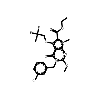 CCOC(=O)c1c(OCC(F)(F)F)c2c(=O)n(Cc3cccc(Cl)c3)c(SC)nc2n1C